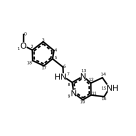 COc1ccc(CNc2ncc3c(n2)CNC3)cc1